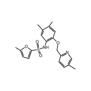 Cc1ccc(COc2cc(C)c(C)cc2NS(=O)(=O)c2ccc(C)o2)nc1